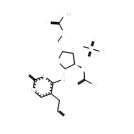 C=CCc1c[nH]c(=O)nc1N[C@@H]1O[C@H](COC(C)=O)[C@H](OS(C)(=O)=O)[C@H]1OC(C)=O